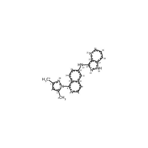 Cc1cc(C)n(-c2nccc3cc(Nc4n[nH]c5cccnc45)ccc23)n1